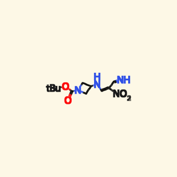 CC(C)(C)OC(=O)N1CC(N/C=C(\C=N)[N+](=O)[O-])C1